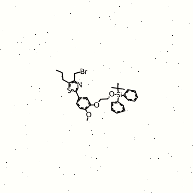 CCCc1sc(-c2ccc(OC)c(OCCO[Si](c3ccccc3)(c3ccccc3)C(C)(C)C)c2)nc1CBr